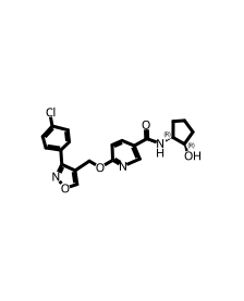 O=C(N[C@@H]1CCC[C@H]1O)c1ccc(OCc2conc2-c2ccc(Cl)cc2)nc1